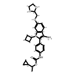 CC(OC(=O)Nc1ccc(-c2c(N)c3ccc(OCC4OCCO4)cc3n2C2CCC2)cc1)C1CC1